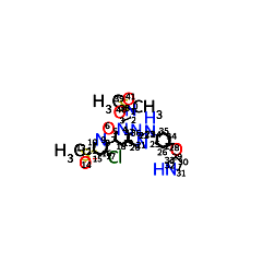 CN(CCn1c(=O)c(-c2ncc([S+](C)[O-])cc2Cl)cc2cnc(Nc3ccc(OC4CCNC4)cc3)nc21)S(C)(=O)=O